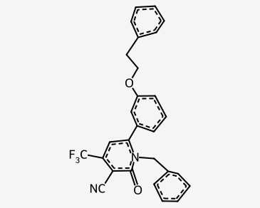 N#Cc1c(C(F)(F)F)cc(-c2cccc(OCCc3ccccc3)c2)n(Cc2ccccc2)c1=O